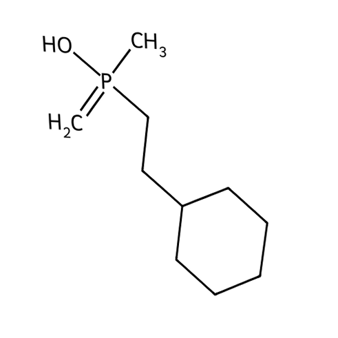 C=P(C)(O)CCC1CCCCC1